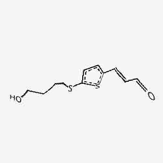 O=C/C=C/c1ccc(SCCCO)s1